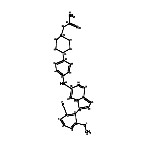 COc1cccc(F)c1-c1ccc2cnc(Nc3ccc(C4CCN(CC(N)=O)CC4)cc3)nn12